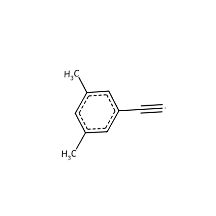 [C]#Cc1cc(C)cc(C)c1